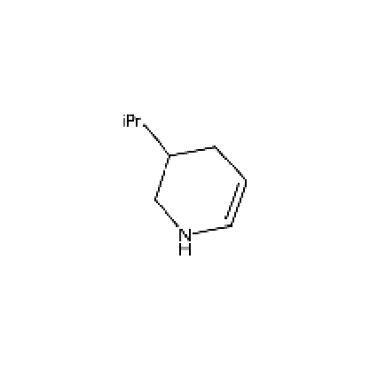 CC(C)C1CC=CNC1